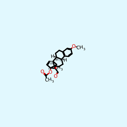 COc1ccc2c(c1)CC[C@@H]1[C@@H]2CC[C@@]2(C)[C@]13C=C[C@@]2(OC(C)=O)C(C=O)=C3